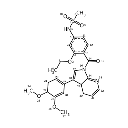 CCOc1cc(NS(C)(=O)=O)ccc1C(=O)N1C=C(C2=CCC(OC)C(OC)=C2)C2CC=CN=C21